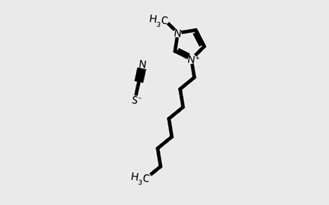 CCCCCCCC[n+]1ccn(C)c1.N#C[S-]